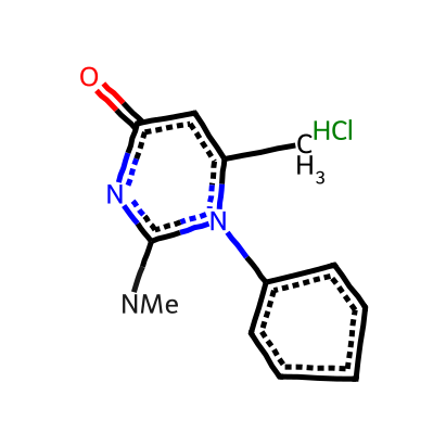 CNc1nc(=O)cc(C)n1-c1ccccc1.Cl